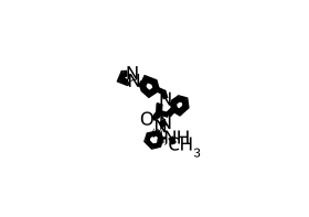 CN[C@H]1CCCC[C@@H]1n1nc2c3ccccc3n(Cc3ccc(-n4cccn4)cc3)cc-2c1=O